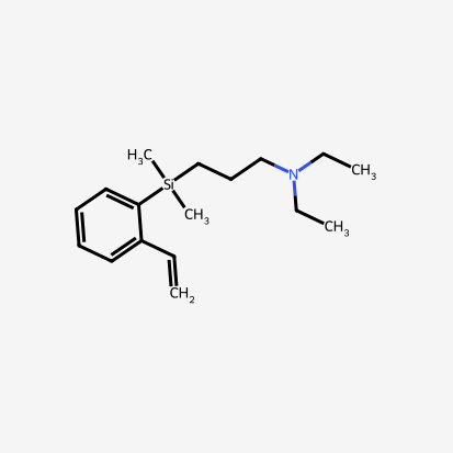 C=Cc1ccccc1[Si](C)(C)CCCN(CC)CC